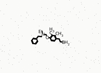 BCCc1ccc(OCN(CC)CCc2ccccc2)c(C)c1C